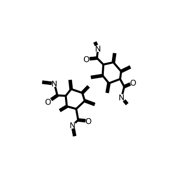 C=NC(=O)C1C(=C)C(=C)C(=C)C(C(=O)N=C)C1=C.C=NC(=O)C1C(=C)C(=C)C(C(=O)N=C)C(=C)C1=C